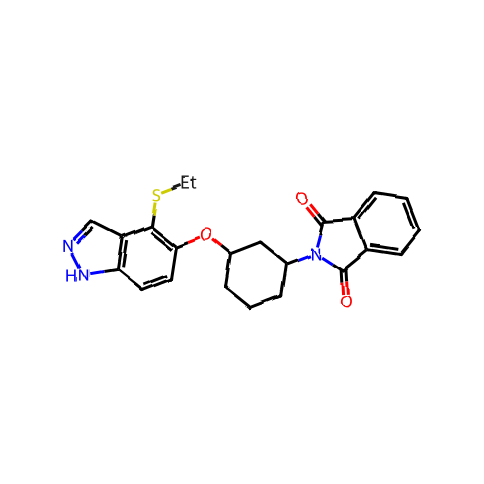 CCSc1c(OC2CCCC(N3C(=O)c4ccccc4C3=O)C2)ccc2[nH]ncc12